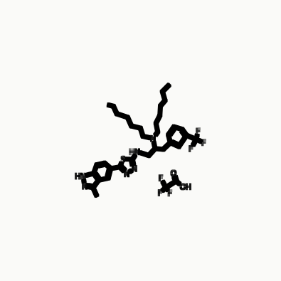 CCCCCCCN(CCCCCCC)C(CNc1nnc(-c2ccc3[nH]nc(C)c3c2)s1)Cc1cccc(C(F)(F)F)c1.O=C(O)C(F)(F)F